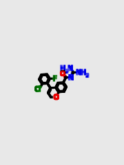 NC(N)=NC(=O)c1ccc2c(c1)C(c1c(F)cccc1Cl)=CCO2